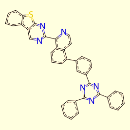 c1ccc(-c2nc(-c3ccccc3)nc(-c3cccc(-c4cccc5c(-c6ncc7c(n6)sc6ccccc67)nccc45)c3)n2)cc1